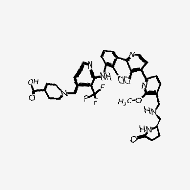 COc1nc(-c2ccnc(-c3cccc(Nc4nccc(CN5CCC(C(=O)O)CC5)c4C(F)(F)F)c3Cl)c2Cl)ccc1CNC[C@H]1CCC(=O)N1